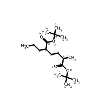 CCCC(CCC(C)C(=O)OC(C)(C)C)C(=O)OC(C)(C)C